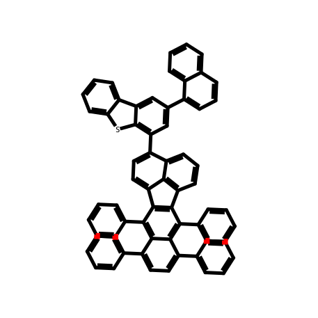 c1ccc(-c2ccc(-c3ccccc3)c3c(-c4ccccc4)c4c(c(-c5ccccc5)c23)-c2cccc3c(-c5cc(-c6cccc7ccccc67)cc6c5sc5ccccc56)ccc-4c23)cc1